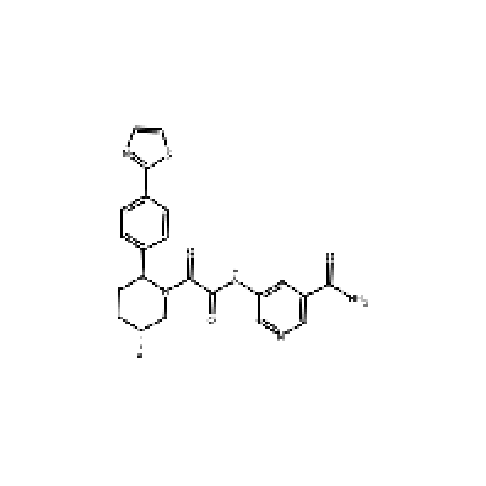 C[C@@H]1CC[C@@H](c2ccc(-c3nccs3)cc2)N(C(=O)C(=O)Nc2cncc(C(N)=O)c2)C1